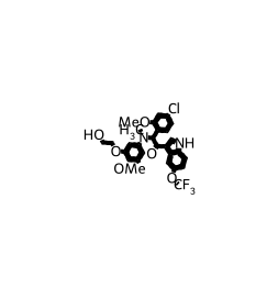 COc1cc(OCCO)cc(N(C)C(C(=O)c2c[nH]c3ccc(OC(F)(F)F)cc23)c2ccc(Cl)cc2OC)c1